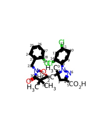 CC1(C(=O)O)CC(C(=O)O)=NN1c1ccc(Cl)cc1Cl.CC1(C)CON(Cc2ccccc2Cl)C1=O